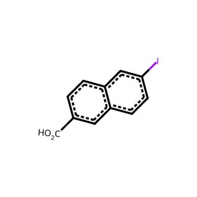 O=C(O)c1ccc2cc(I)ccc2c1